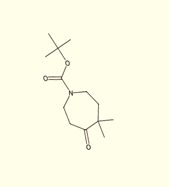 CC(C)(C)OC(=O)N1CCC(=O)C(C)(C)CC1